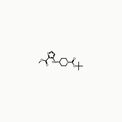 COC(=O)c1sccc1NC1CCN(C(=O)OC(C)(C)C)CC1